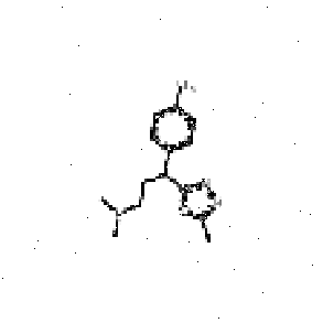 Cc1nnn(C(CCN(C)C)c2ccc(C(F)(F)F)cc2)n1